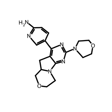 Nc1ccc(-c2nc(N3CCOCC3)nc3c2CC2COCCN32)cn1